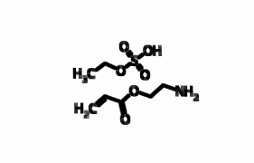 C=CC(=O)OCCN.CCOS(=O)(=O)O